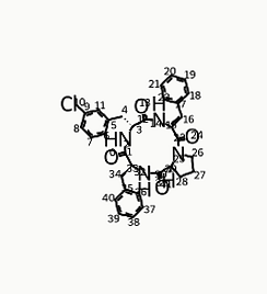 O=C1N[C@H](Cc2cccc(Cl)c2)C(=O)N/C(=C\c2ccccc2)C(=O)N2CCC[C@@H]2C(=O)N[C@H]1Cc1ccccc1